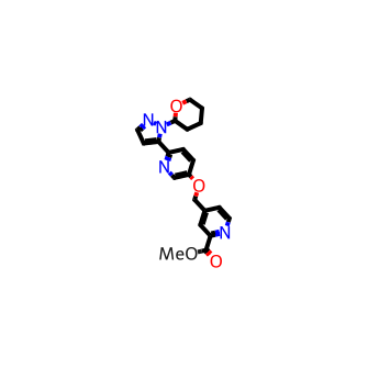 COC(=O)c1cc(COc2ccc(-c3ccnn3C3CCCCO3)nc2)ccn1